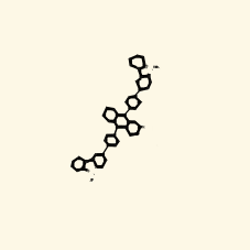 CCn1c2ccccc2c2cc(-c3ccc(-c4c5ccccc5c(-c5ccc(-c6ccc7c(c6)c6ccccc6n7CC)cc5)c5cc(C)c(C)cc45)cc3)ccc21